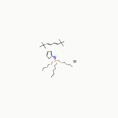 CC(C)(C)C=CC=CC(C)(C)C.CCCCCCP(CCCCCC)(CCCCCC)=NC1=CC=CC1.[Ti]